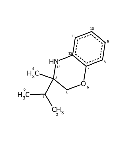 CC(C)C1(C)COc2ccccc2N1